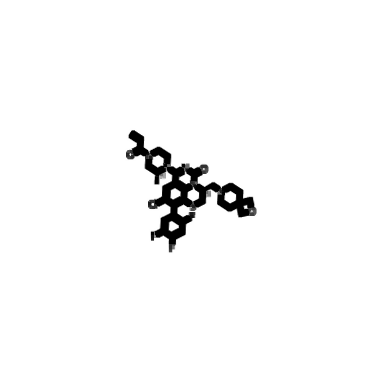 C=CC(=O)N1CCN(c2nc(=O)n3c4c(c(-c5cc(F)c(F)cc5F)c(Cl)cc24)SC[C@@H]3CN2CCC3(CC2)COC3)[C@@H](C)C1